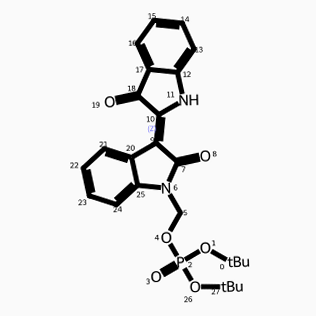 CC(C)(C)OP(=O)(OCN1C(=O)/C(=C2\Nc3ccccc3C2=O)c2ccccc21)OC(C)(C)C